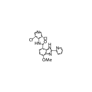 COc1ccc(C(=O)Nc2c(Cl)cncc2Cl)c2[nH]c(-c3ccccn3)nc12